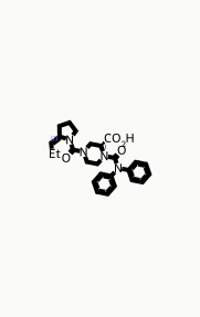 CC/C=C1/CCCN1C(=O)N1CCN(C(=O)N(c2ccccc2)c2ccccc2)[C@H](C(=O)O)C1